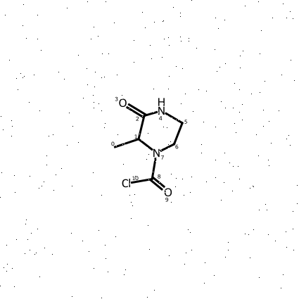 CC1C(=O)NCCN1C(=O)Cl